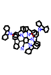 N#Cc1c(C2c3ccccc3-c3ccccc32)c(-n2c3ccccc3c3cc(-n4c5ccccc5c5ccccc54)ccc32)c(-n2c3ccccc3c3ccccc32)c(-n2c3ccccc3c3cc(-n4c5ccccc5c5ccccc54)ccc32)c1-n1c2ccccc2c2ccccc21